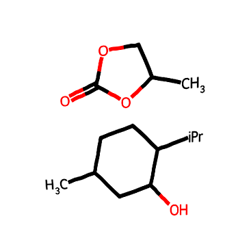 CC1CCC(C(C)C)C(O)C1.CC1COC(=O)O1